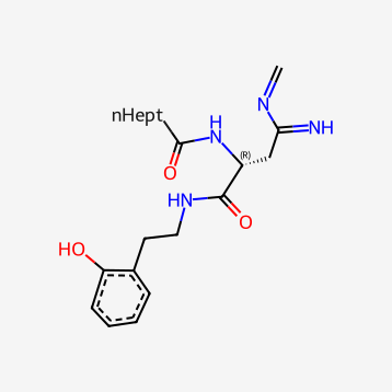 C=NC(=N)C[C@@H](NC(=O)CCCCCCC)C(=O)NCCc1ccccc1O